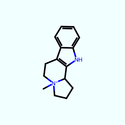 C[N+]12CCCC1c1[nH]c3ccccc3c1CC2